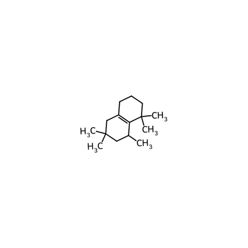 CC1CC(C)(C)CC2=C1C(C)(C)CCC2